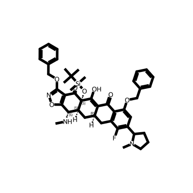 CN[C@@H]1c2onc(OCc3ccccc3)c2C(=O)[C@@]2(O[Si](C)(C)C(C)(C)C)C(O)=C3C(=O)c4c(OCc5ccccc5)cc(C5CCCN5C)c(F)c4C[C@H]3C[C@@H]12